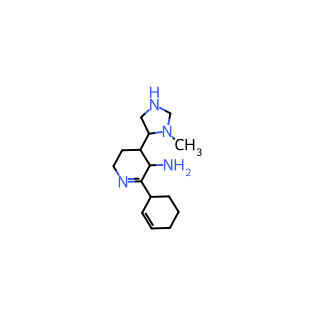 CN1CNCC1C1CCN=C(C2C=CCCC2)C1N